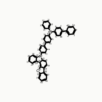 c1ccc(-c2ccc(N(c3ccccc3)c3ccc(-c4ccc(-n5c6ccccc6c6c7oc8ccccc8c7ccc65)cc4)cc3)cc2)cc1